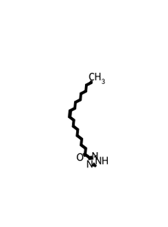 CCCCCCCC/C=C\CCCCCCCC(=O)c1nc[nH]n1